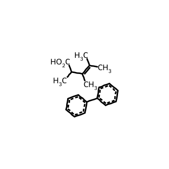 CC(C)=C(C)C(C)C(=O)O.c1ccc(-c2ccccc2)cc1